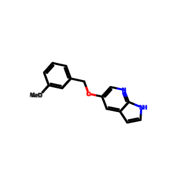 COc1cccc(COc2cnc3[nH]ccc3c2)c1